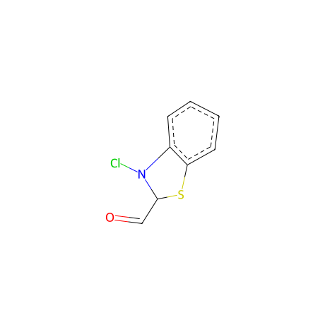 O=CC1Sc2ccccc2N1Cl